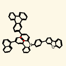 c1cc(-c2ccccc2N(c2ccc(-c3ccc4c(c3)oc3ccccc34)cc2)c2ccc(-c3ccc4c5ccccc5c5ccccc5c4c3)cc2)cc(-c2cccc3ccccc23)c1